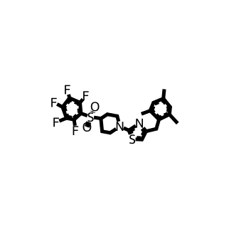 Cc1cc(C)c(Cc2csc(N3CCC(S(=O)(=O)c4c(F)c(F)c(F)c(F)c4F)CC3)n2)c(C)c1